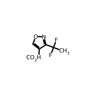 CC(F)(F)c1nocc1C(=O)O